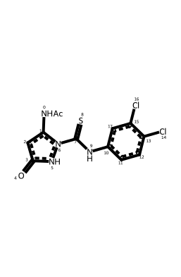 CC(=O)Nc1cc(=O)[nH]n1C(=S)Nc1ccc(Cl)c(Cl)c1